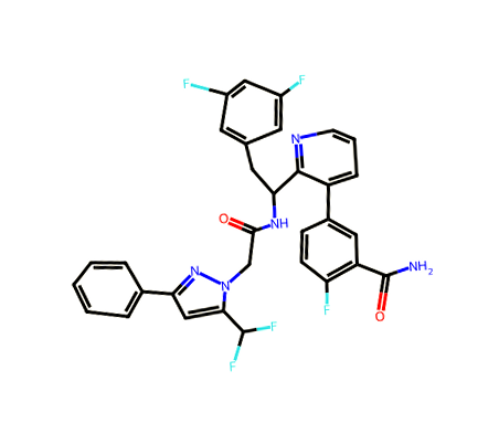 NC(=O)c1cc(-c2cccnc2C(Cc2cc(F)cc(F)c2)NC(=O)Cn2nc(-c3ccccc3)cc2C(F)F)ccc1F